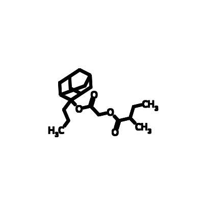 CCCC1(OC(=O)COC(=O)C(C)CC)C2CC3CC(C2)CC1C3